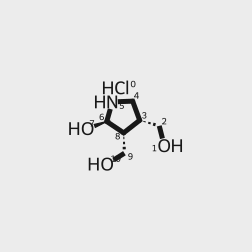 Cl.OC[C@H]1CN[C@H](O)[C@H]1CO